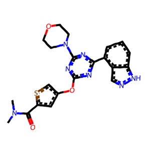 CN(C)C(=O)c1cc(Oc2nc(-c3cccc4[nH]ncc34)nc(N3CCOCC3)n2)cs1